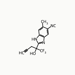 [C-]#[N+]c1cc2nc(C(O)(CC#C)C(F)(F)F)[nH]c2cc1C